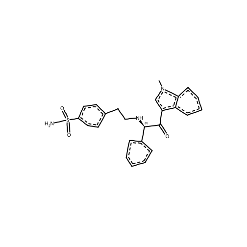 Cn1cc(C(=O)[C@H](NCCc2ccc(S(N)(=O)=O)cc2)c2ccccc2)c2ccccc21